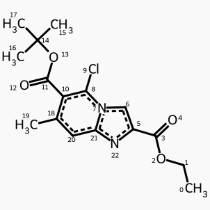 CCOC(=O)c1cn2c(Cl)c(C(=O)OC(C)(C)C)c(C)cc2n1